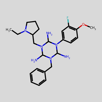 CCN1CCCC1CN1C(N)N(Cc2ccccc2)C(N)N(c2ccc(OC)c(F)c2)C1N